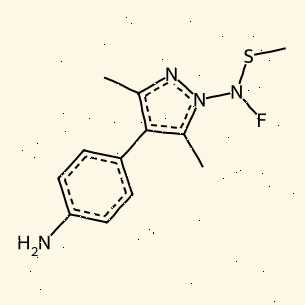 CSN(F)n1nc(C)c(-c2ccc(N)cc2)c1C